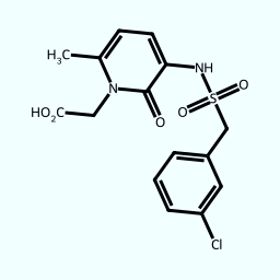 Cc1ccc(NS(=O)(=O)Cc2cccc(Cl)c2)c(=O)n1CC(=O)O